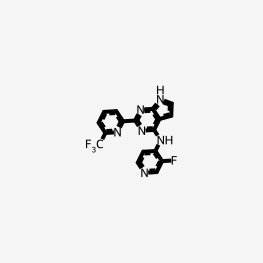 Fc1cnccc1Nc1nc(-c2cccc(C(F)(F)F)n2)nc2[nH]ccc12